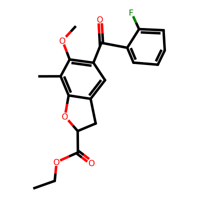 CCOC(=O)C1Cc2cc(C(=O)c3ccccc3F)c(OC)c(C)c2O1